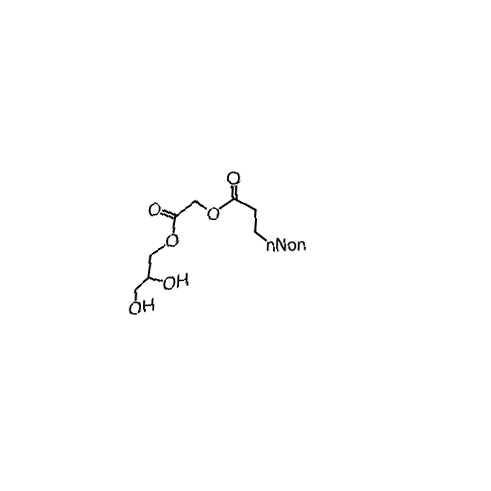 CCCCCCCCCCCC(=O)OCC(=O)OCC(O)CO